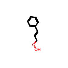 OOC/C=C/c1ccccc1